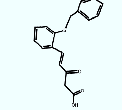 O=C(O)CC(=O)C=Cc1ccccc1SCc1ccccc1